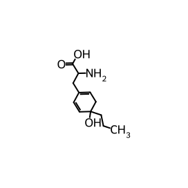 CCCC1(O)C=CC(CC(N)C(=O)O)=CC1